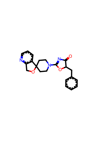 O=C1N=C(N2CCC3(CC2)OCc2ncccc23)OC1Cc1ccccc1